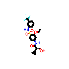 CCOc1cc(NC(=O)[C@@H](CO)C2CC2)ccc1S(=O)(=O)Nc1cccc(C(F)(F)F)c1